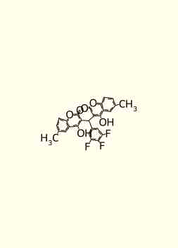 Cc1ccc2oc(=O)c(C(c3cc(F)c(F)c(F)c3)c3c(O)c4cc(C)ccc4oc3=O)c(O)c2c1